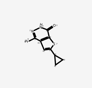 CC(C)c1n[nH]c(=O)c2sc(C3CC3)cc12